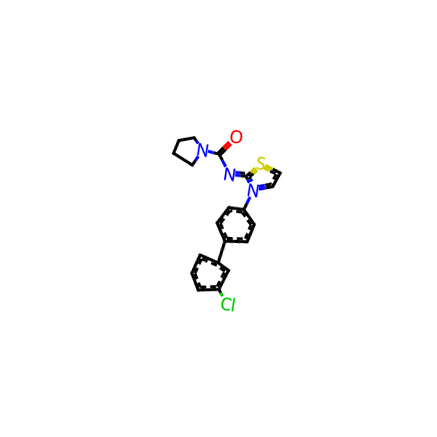 O=C(/N=c1\sccn1-c1ccc(-c2cccc(Cl)c2)cc1)N1CCCC1